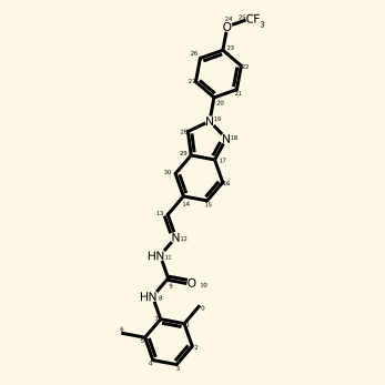 Cc1cccc(C)c1NC(=O)N/N=C/c1ccc2nn(-c3ccc(OC(F)(F)F)cc3)cc2c1